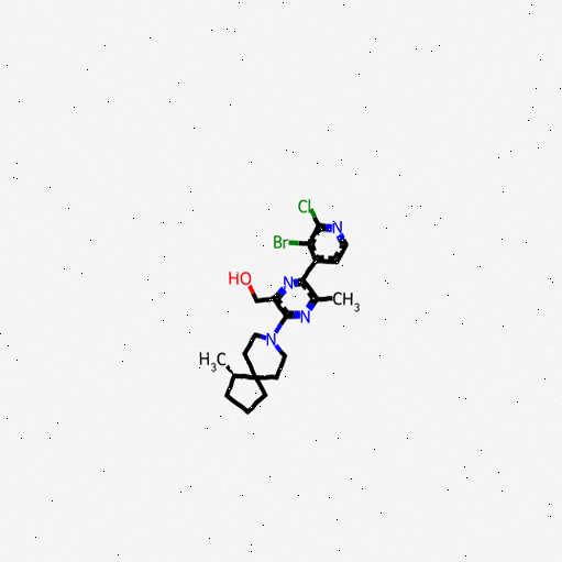 Cc1nc(N2CCC3(CCC[C@H]3C)CC2)c(CO)nc1-c1ccnc(Cl)c1Br